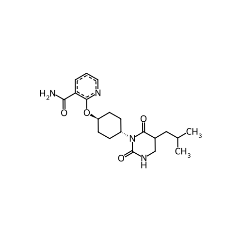 CC(C)CC1CNC(=O)N([C@H]2CC[C@H](Oc3ncccc3C(N)=O)CC2)C1=O